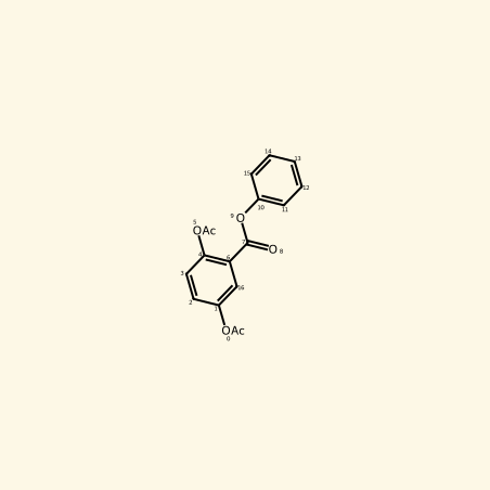 CC(=O)Oc1ccc(OC(C)=O)c(C(=O)Oc2ccccc2)c1